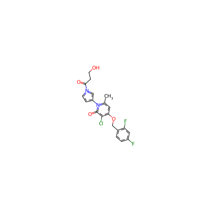 Cc1cc(OCc2ccc(F)cc2F)c(Cl)c(=O)n1-c1ccn(C(=O)CCO)c1